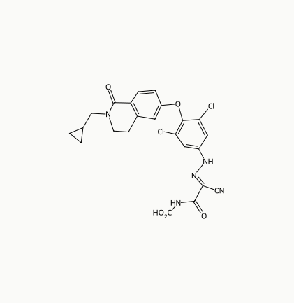 N#C/C(=N\Nc1cc(Cl)c(Oc2ccc3c(c2)CCN(CC2CC2)C3=O)c(Cl)c1)C(=O)NC(=O)O